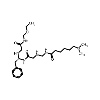 CCOCNC(=O)CN[C@H](Cc1ccccc1)NC(=O)CNCNC(=O)CCCCCN(C)C